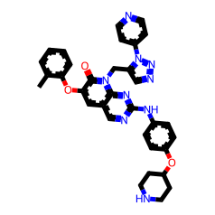 Cc1ccccc1Oc1cc2cnc(Nc3ccc(OC4CCNCC4)cc3)nc2n(Cc2cnnn2-c2ccncc2)c1=O